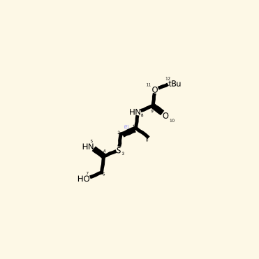 C/C(=C\SC(=N)CO)NC(=O)OC(C)(C)C